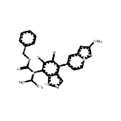 CC(=O)Nc1cc2cc(-c3c(Cl)c(F)c(N(C(=O)OCc4ccccc4)C(C)C#N)c4[nH]ncc34)ccn2n1